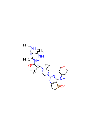 CN/C=C(\C(C)=N)C(C)NC(=O)/C(C)=C/N1CCN(c2nc3c(c(NC4CCOCC4)n2)[S+]([O-])CC3)CC12CC2